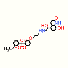 CCc1cccc(C(O)(C(=O)O)c2cccc(OCCCCCNC[C@H](O)c3ccc(O)c4[nH]c(=O)ccc34)c2)c1